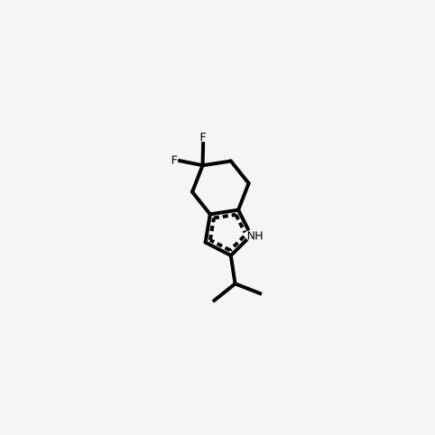 CC(C)c1cc2c([nH]1)CCC(F)(F)C2